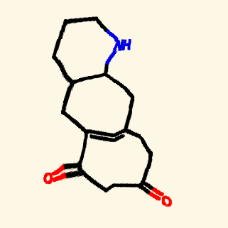 O=C1CC(=O)C2=C(C1)CC1NCCCC1C2